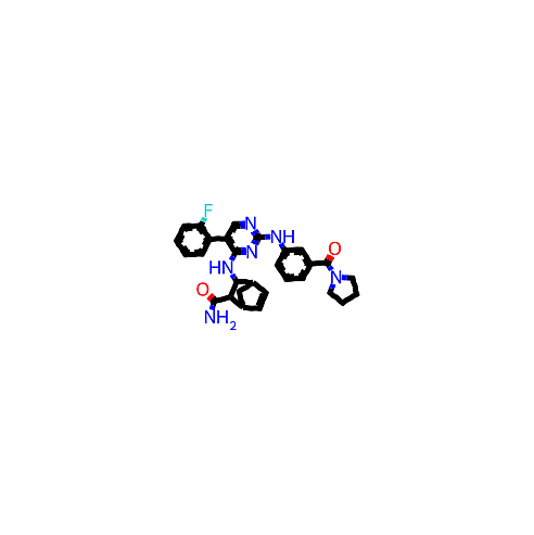 NC(=O)C1C2C=CC(C2)C1Nc1nc(Nc2cccc(C(=O)N3CCCC3)c2)ncc1-c1ccccc1F